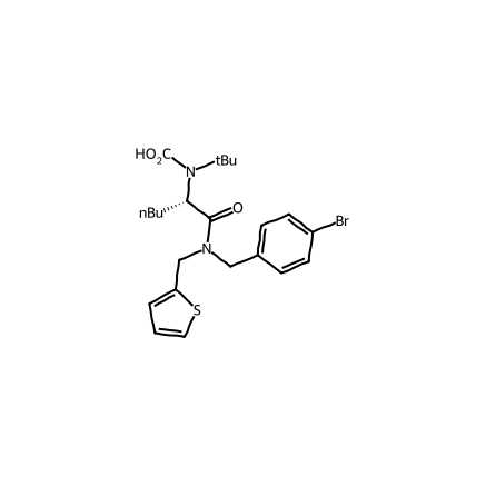 CCCC[C@@H](C(=O)N(Cc1ccc(Br)cc1)Cc1cccs1)N(C(=O)O)C(C)(C)C